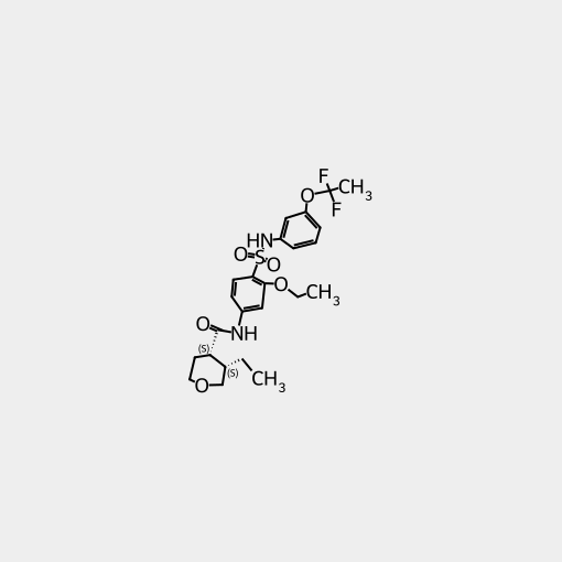 CCOc1cc(NC(=O)[C@H]2CCOC[C@H]2CC)ccc1S(=O)(=O)Nc1cccc(OC(C)(F)F)c1